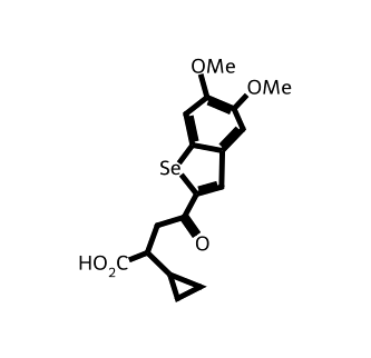 COc1cc2cc(C(=O)CC(C(=O)O)C3CC3)[se]c2cc1OC